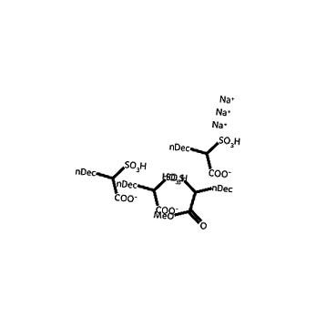 CCCCCCCCCCC(C(=O)OC)S(=O)(=O)O.CCCCCCCCCCC(C(=O)[O-])S(=O)(=O)O.CCCCCCCCCCC(C(=O)[O-])S(=O)(=O)O.CCCCCCCCCCC(C(=O)[O-])S(=O)(=O)O.[Na+].[Na+].[Na+]